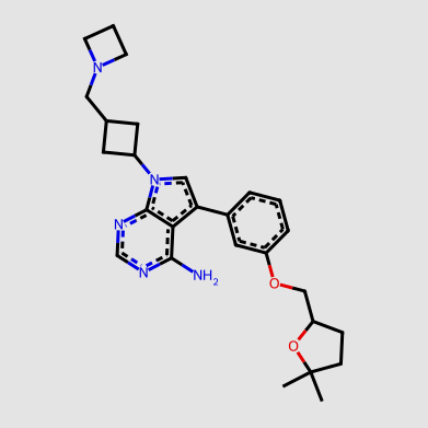 CC1(C)CCC(COc2cccc(-c3cn(C4CC(CN5CCC5)C4)c4ncnc(N)c34)c2)O1